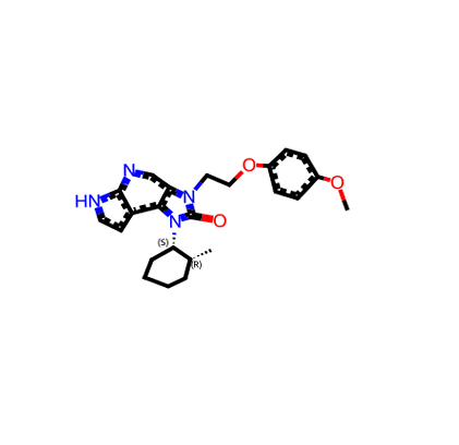 COc1ccc(OCCn2c(=O)n([C@H]3CCCC[C@H]3C)c3c4cc[nH]c4ncc32)cc1